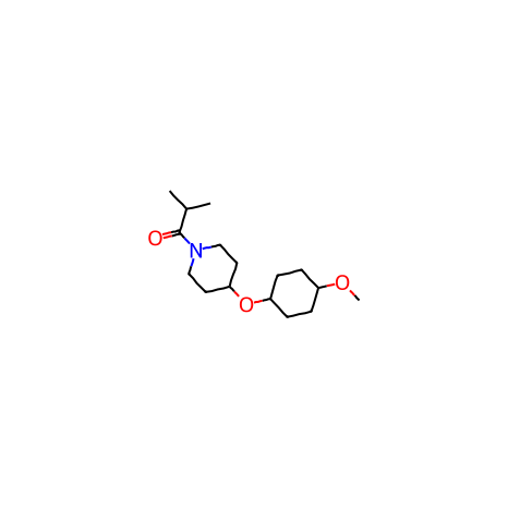 COC1CCC(OC2CCN(C(=O)C(C)C)CC2)CC1